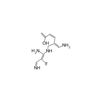 C=C(O)/C=C\C(=C/N)CN/C(N)=C(\F)C=N